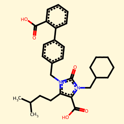 CC(C)CCc1c(C(=O)O)n(CC2CCCCC2)c(=O)n1Cc1ccc(-c2ccccc2C(=O)O)cc1